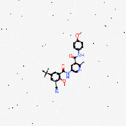 COc1ccc(NC(=O)c2cc(NC(=O)c3cc(C(C)(C)C)cc(C#N)c3OC)cnc2C)cc1